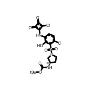 CC(C)(C)OC(=O)N[C@@H]1CCN(S(=O)(=O)c2c(Cl)ccc(Nc3c(Cl)c(=O)c3=O)c2O)C1